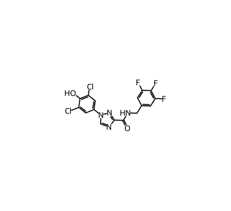 O=C(NCc1cc(F)c(F)c(F)c1)c1ncn(-c2cc(Cl)c(O)c(Cl)c2)n1